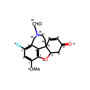 COc1cc(F)c2c3c1OC1CC(=O)C=CC31CCN(C=O)C2